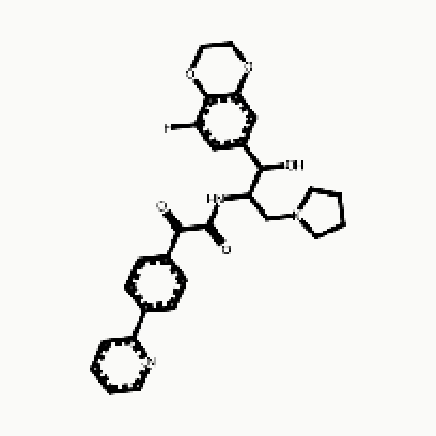 O=C(NC(CN1CCCC1)C(O)c1cc(F)c2c(c1)OCCO2)C(=O)c1ccc(-c2ccccn2)cc1